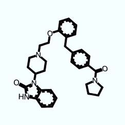 O=C(c1ccc(Cc2ccccc2OCCN2CCC(n3c(=O)[nH]c4ccccc43)CC2)cc1)N1CCCC1